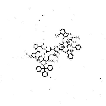 CCO[C@@H]1C[C@@H](C(=O)N[C@@H](COC(c2ccccc2)(c2ccccc2)c2ccccc2)C(=O)N[C@@H](CC(=O)O)C(=O)O)N(C(=O)[C@@H]2CCCN2C(=O)CN(C)C(=O)CN(C)C(=O)[C@H](CC(C)C)N(C)C(=O)[C@H](Cc2c[nH]c3ccccc23)NC(=O)[C@H](Cc2c[nH]c3cccc(C(F)(F)F)c23)NC(=O)[C@H](Cc2ccccc2)NC(=O)[C@H](C)N)C1